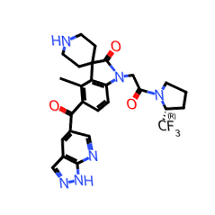 Cc1c(C(=O)c2cnc3[nH]ncc3c2)ccc2c1C1(CCNCC1)C(=O)N2CC(=O)N1CCC[C@@H]1C(F)(F)F